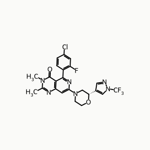 Cc1nc2cc(N3CCO[C@@H](c4cnn(C(F)(F)F)c4)C3)nc(-c3ccc(Cl)cc3F)c2c(=O)n1C